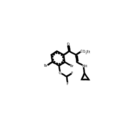 CCOC(=O)C(=CNC1CC1)C(=O)c1ccc(Br)c(OC(F)F)c1Br